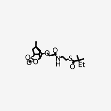 CCC(C)(C)C(=O)SCCNC(=O)COC1C2OS(=O)(=O)C3CC1(C)CC23